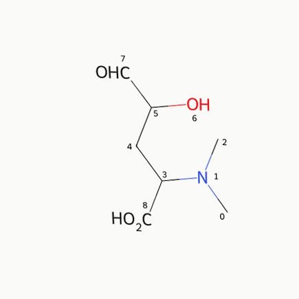 CN(C)C(CC(O)C=O)C(=O)O